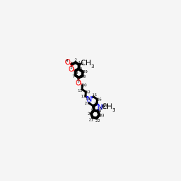 Cc1cc(=O)oc2cc(OCCCCN3CCc4c(c5ccccc5n4C)C3)ccc12